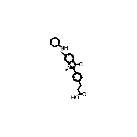 Cn1c(-c2ccc(CCC(=O)O)cc2)c(Cl)c2ccc(SNC3CCCCC3)cc21